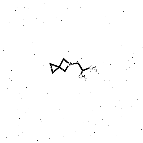 CC(C)CN1CC2(CC2)C1